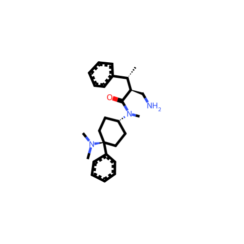 C[C@@H](c1ccccc1)[C@@H](CN)C(=O)N(C)[C@H]1CC[C@](c2ccccc2)(N(C)C)CC1